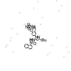 CN(Cc1cccc(-n2nc(C(C)(C)C)cc2NC(=O)Nc2cccc3ccccc23)c1)C(=O)NS(=O)(=O)N(C)C